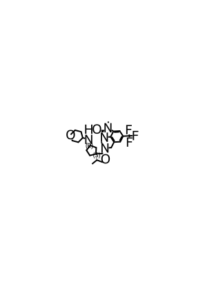 CC(C)[C@]1(C(=O)N2Cc3cc(C(F)(F)F)cc4c3n(c(=O)n4C)C2)CC[C@@H](NC2CCOCC2)C1